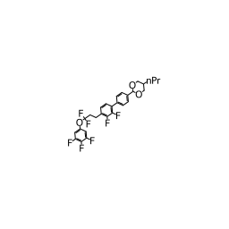 CCCC1COC(c2ccc(-c3ccc(CCC(F)(F)Oc4cc(F)c(F)c(F)c4)c(F)c3F)cc2)OC1